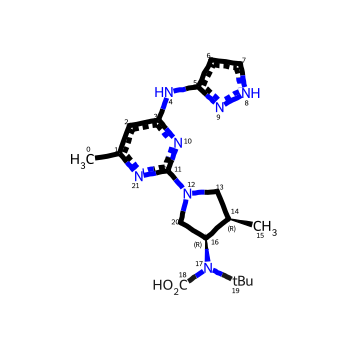 Cc1cc(Nc2cc[nH]n2)nc(N2C[C@@H](C)[C@@H](N(C(=O)O)C(C)(C)C)C2)n1